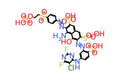 Nc1c(/N=N/c2ccc(S(=O)(=O)CCOS(=O)(=O)O)cc2)c(S(=O)(=O)O)cc2cc(SOOO)c(/N=N/c3cc(Nc4nc(F)nc(F)c4Cl)ccc3S(=O)(=O)O)c(O)c12